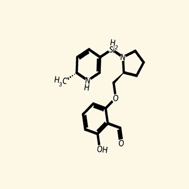 C[C@@H]1C=CC([SiH2]N2CCC[C@H]2COc2cccc(O)c2C=O)=CN1